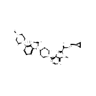 CN1CCN(c2cccc3c2[nH]c(=O)n3C2CCN(c3ncnc4c3nc(C(=O)NCC3CC3)n4C)CC2)CC1